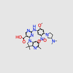 COc1cc(N2CCC(N(C)C)C2)c([N+](=O)[O-])cc1Nc1ncc(C(=O)O)c(N2CC(C)(C)c3nc(C)ccc32)n1